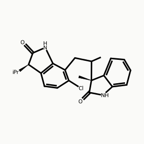 CC(C)[C@H]1C(=O)Nc2c1ccc(Cl)c2CC(C)[C@@]1(C)C(=O)Nc2ccccc21